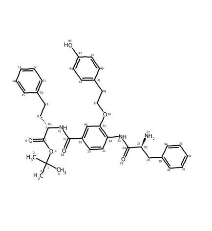 CC(C)(C)OC(=O)[C@H](CCc1ccccc1)NC(=O)c1ccc(NC(=O)[C@@H](N)Cc2ccccc2)c(OCCc2ccc(O)cc2)c1